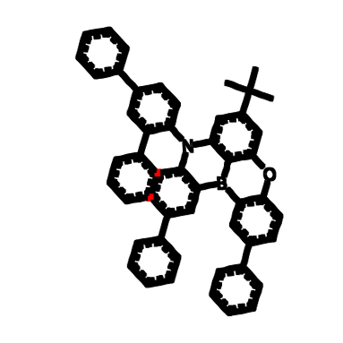 CC(C)(C)c1cc2c3c(c1)N(c1ccc(-c4ccccc4)cc1-c1ccccc1)c1ccc(-c4ccccc4)cc1B3c1cc(-c3ccccc3)ccc1O2